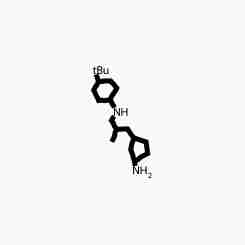 CC(CNC1CCC(C(C)(C)C)CC1)CC1CCC(N)C1